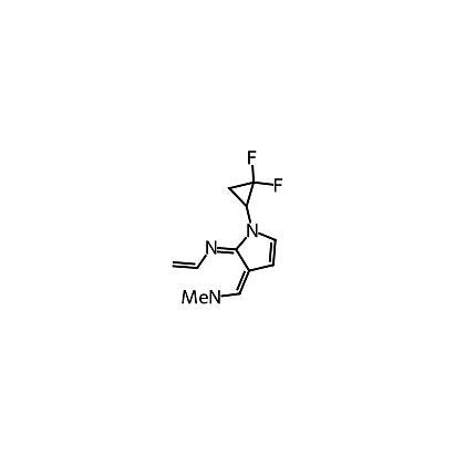 C=C/N=C1\C(=C/NC)C=CN1C1CC1(F)F